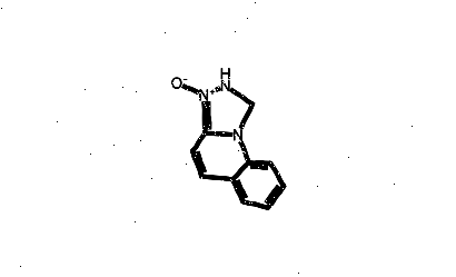 [O-][N+]1=C2C=Cc3ccccc3N2CN1